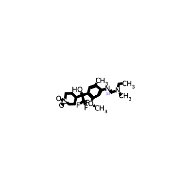 CCN(C)/C=N/c1cc(OC)c(C(O)(C2CCS(=O)(=O)CC2)C(F)(F)F)cc1C